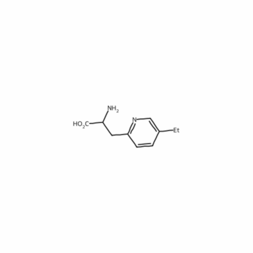 CCc1ccc(CC(N)C(=O)O)nc1